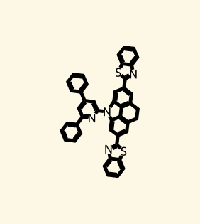 c1ccc(-c2cc(-c3ccccc3)nc(-n3c4cc(-c5nc6ccccc6s5)cc5c4c4c(cc(-c6nc7ccccc7s6)cc43)CC5)c2)cc1